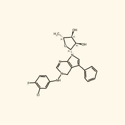 C[C@H]1O[C@@H](n2cc(-c3ccccc3)c3c2N=CN(Nc2ccc(F)c(Cl)c2)C3)[C@H](O)[C@@H]1O